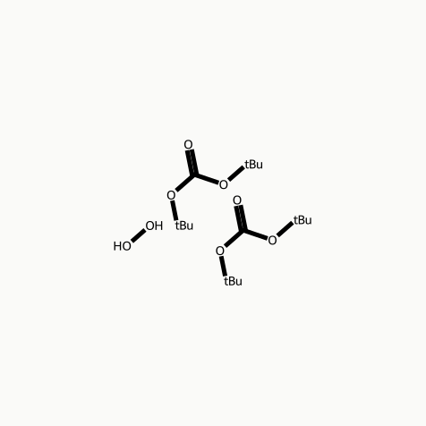 CC(C)(C)OC(=O)OC(C)(C)C.CC(C)(C)OC(=O)OC(C)(C)C.OO